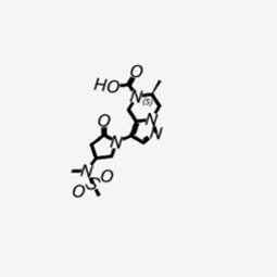 C[C@H]1Cn2ncc(N3CC(N(C)S(C)(=O)=O)CC3=O)c2CN1C(=O)O